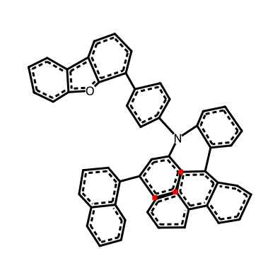 c1cc(-c2cccc3ccccc23)cc(N(c2ccc(-c3cccc4c3oc3ccccc34)cc2)c2ccccc2-c2cc3ccccc3c3ccccc23)c1